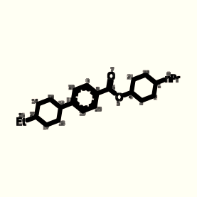 CCCC1CCC(OC(=O)c2ccc(C3CCC(CC)CC3)cc2)CC1